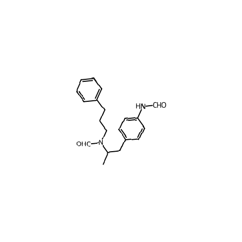 CC(Cc1ccc(NC=O)cc1)N(C=O)CCCc1ccccc1